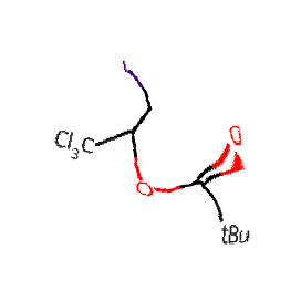 CC(C)(C)C(=O)OC(CI)C(Cl)(Cl)Cl